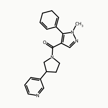 Cn1ncc(C(=O)N2CCC(c3cccnc3)C2)c1C1=CCCC=C1